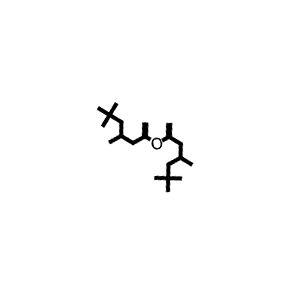 C=C(CC(C)CC(C)(C)C)OC(=C)CC(C)CC(C)(C)C